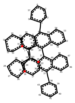 c1ccc(-c2cc(P(c3ccccc3)c3ccccc3)c(-c3c(P(c4ccccc4)c4ccccc4)cc(-c4ccccc4)c4ccccc34)c3ccccc23)cc1